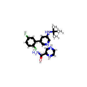 CC(C)(C)Nc1cncc(-c2cc(F)ccc2F)c1.NC(=O)c1cnccn1